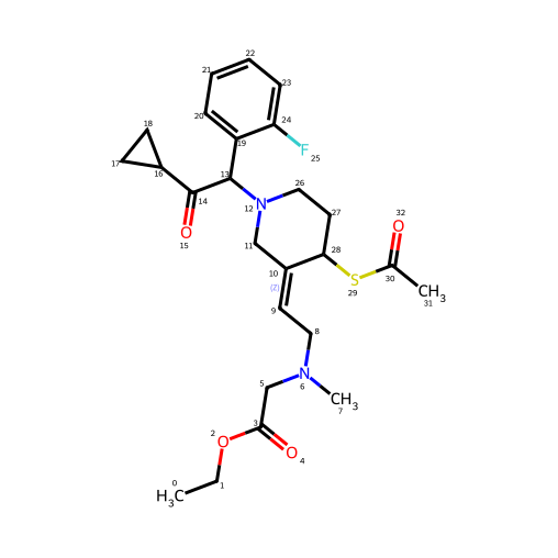 CCOC(=O)CN(C)C/C=C1/CN(C(C(=O)C2CC2)c2ccccc2F)CCC1SC(C)=O